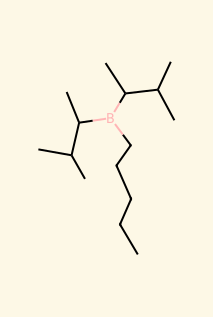 CCCCCB(C(C)C(C)C)C(C)C(C)C